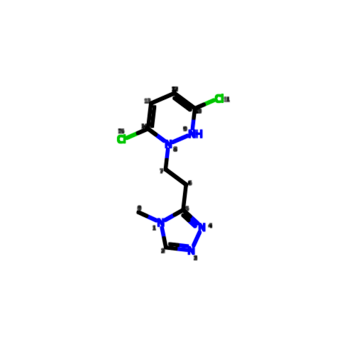 Cn1cnnc1CCN1NC(Cl)=CC=C1Cl